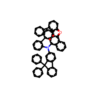 c1ccc(-c2ccccc2N(c2ccc3c(c2)C(c2ccccc2)(c2ccccc2)c2ccccc2-3)c2cc3c(oc4cccc(-c5ccccc5)c43)c3ccccc23)cc1